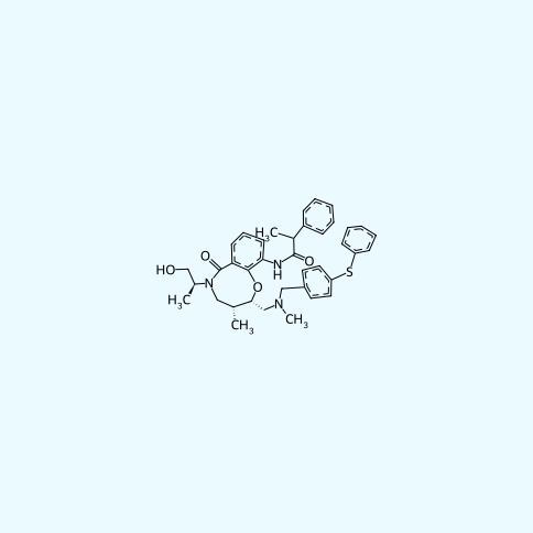 CC(C(=O)Nc1cccc2c1O[C@H](CN(C)Cc1ccc(Sc3ccccc3)cc1)[C@H](C)CN([C@@H](C)CO)C2=O)c1ccccc1